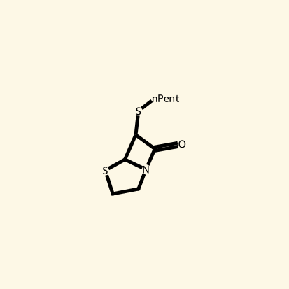 CCCCCSC1C(=O)N2CCSC12